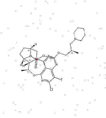 C[C@@H](COc1nc2c3c(nc(Cl)c(F)c3n1)O[C@@H](C)[C@@H]1[C@@H]3CC[C@H](CN21)N3C(=O)OC(C)(C)C)CN1CCCCC1